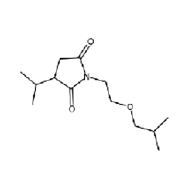 CC(C)COCCN1C(=O)CC(C(C)C)C1=O